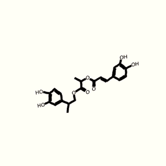 CC(OC(=O)C=Cc1ccc(O)c(O)c1)C(=O)OCC(C)c1ccc(O)c(O)c1